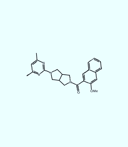 COc1cc2ccccc2cc1C(=O)N1CC2CN(c3nc(C)cc(C)n3)CC2C1